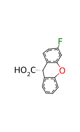 O=C(O)[C@H]1c2ccccc2Oc2cc(F)ccc21